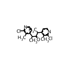 Cc1c(C(C)C(=O)C(C)c2ccnc(Cl)c2C)ccnc1Cl